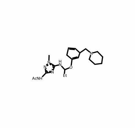 CCC(Nc1nc(NC(C)=O)nn1C)OC1=CC(CN2CCCCC2)C=CC1